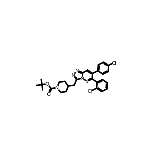 CC(C)(C)OC(=O)N1CCC(Cc2nnc3cc(-c4ccc(Cl)cc4)c(-c4ccccc4Cl)nn23)CC1